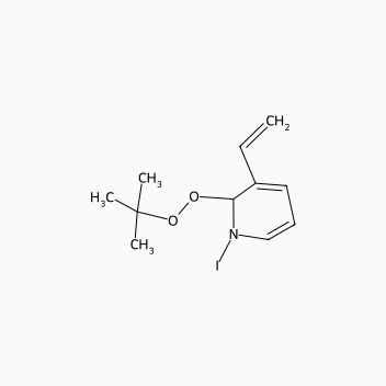 C=CC1=CC=CN(I)C1OOC(C)(C)C